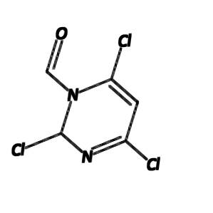 O=CN1C(Cl)=CC(Cl)=NC1Cl